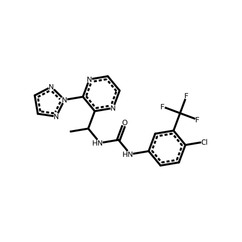 CC(NC(=O)Nc1ccc(Cl)c(C(F)(F)F)c1)c1nccnc1-n1nccn1